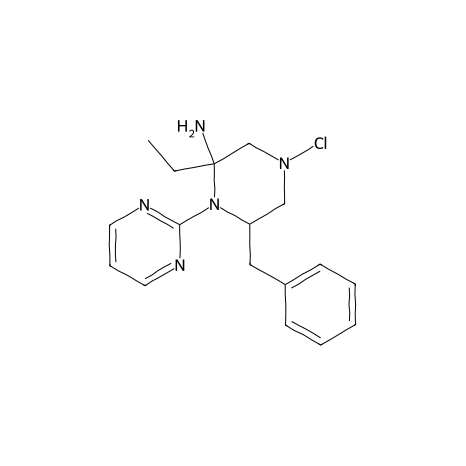 CCC1(N)CN(Cl)CC(Cc2ccccc2)N1c1ncccn1